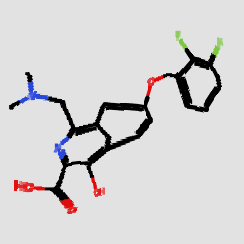 CN(C)Cc1nc(C(=O)O)c(O)c2ccc(Oc3cccc(F)c3F)cc12